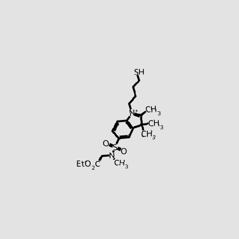 CCOC(=O)CN(C)S(=O)(=O)c1ccc2c(c1)C(C)(C)C(C)=[N+]2CCCCS